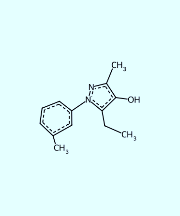 CCc1c(O)c(C)nn1-c1cccc(C)c1